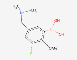 COc1c(F)cc(CN(C)C)cc1B(O)O